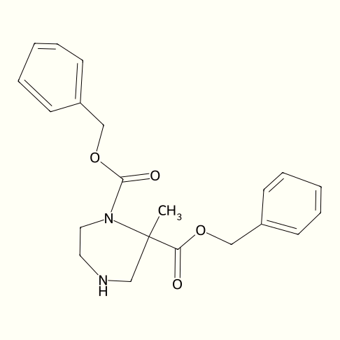 CC1(C(=O)OCc2ccccc2)CNCCN1C(=O)OCc1ccccc1